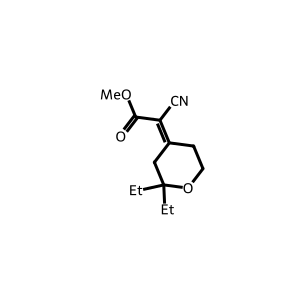 CCC1(CC)C/C(=C(/C#N)C(=O)OC)CCO1